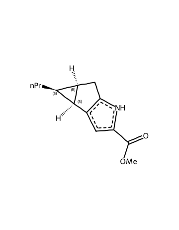 CCC[C@H]1[C@H]2Cc3[nH]c(C(=O)OC)cc3[C@H]21